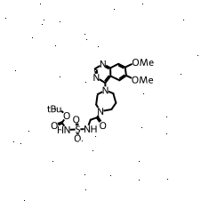 COc1cc2ncnc(N3CCCN(C(=O)CNS(=O)(=O)NC(=O)OC(C)(C)C)CC3)c2cc1OC